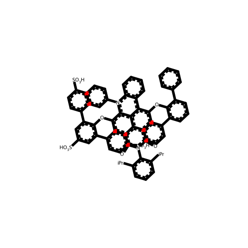 CC(C)c1cccc(C(C)C)c1-n1c(=O)c2cc(Oc3c(-c4ccccc4)cccc3-c3ccccc3)c3c4ccccc4n(-c4ccccc4)c4c(Oc5c(-c6ccc(S(=O)(=O)O)cc6)cc(S(=O)(=O)O)cc5-c5ccc(S(=O)(=O)O)cc5)cc(c1=O)c2c34